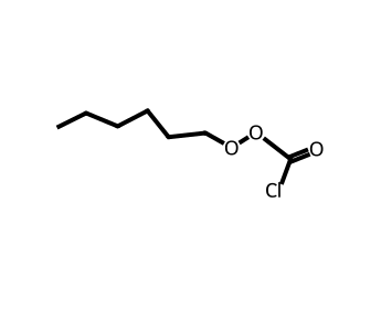 CCCCCCOOC(=O)Cl